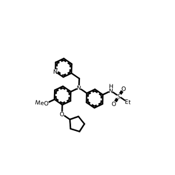 CCS(=O)(=O)Nc1cccc(N(Cc2cccnc2)c2ccc(OC)c(OC3CCCC3)c2)c1